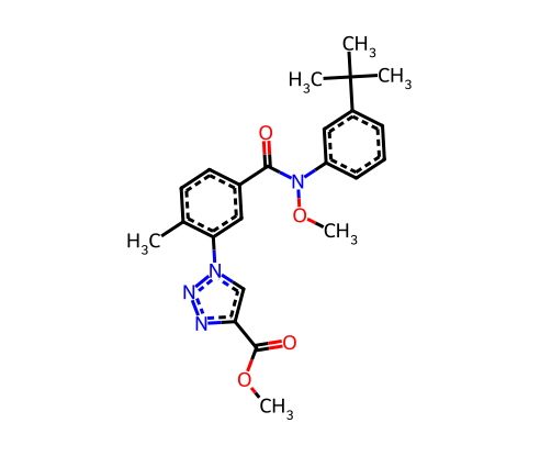 COC(=O)c1cn(-c2cc(C(=O)N(OC)c3cccc(C(C)(C)C)c3)ccc2C)nn1